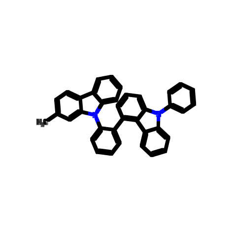 Cc1ccc2c3ccccc3n(-c3ccccc3-c3cccc4c3c3ccccc3n4-c3ccccc3)c2c1